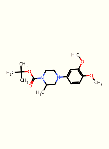 COc1ccc(N2CCN(C(=O)OC(C)(C)C)C(C)C2)cc1OC